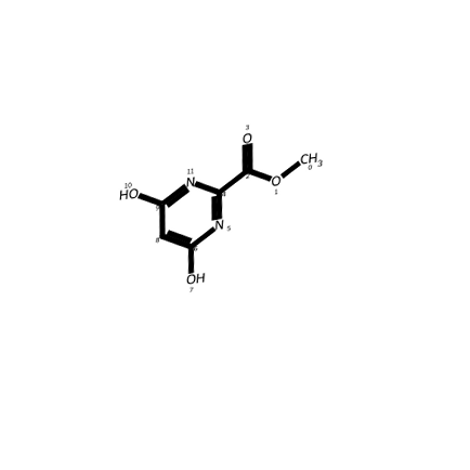 COC(=O)c1nc(O)cc(O)n1